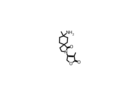 CC1=C(N2CCC3(CCC(C)(N)CC3)C2=O)COC1=O